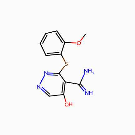 COc1ccccc1Sc1nncc(O)c1C(=N)N